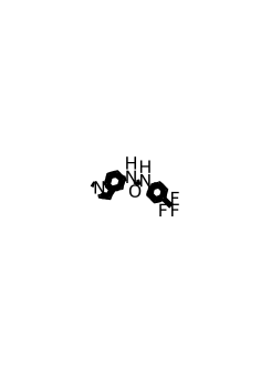 Cn1ccc2cc(NC(=O)Nc3ccc(C(F)(F)F)cc3)ccc21